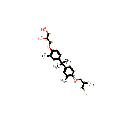 Cc1cc(C(C)(C)c2ccc(OCC(O)CO)c(C)c2)ccc1OCC(C)CCl